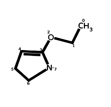 CCOC1=CCC[N]1